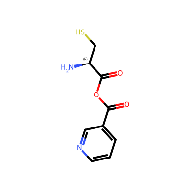 N[C@@H](CS)C(=O)OC(=O)c1cccnc1